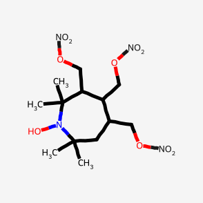 CC1(C)CC(CO[N+](=O)[O-])C(CO[N+](=O)[O-])C(CO[N+](=O)[O-])C(C)(C)N1O